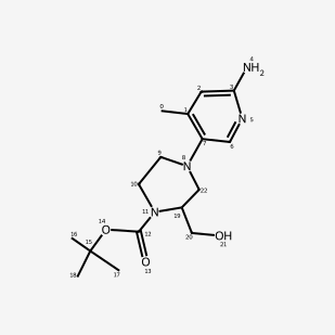 Cc1cc(N)ncc1N1CCN(C(=O)OC(C)(C)C)C(CO)C1